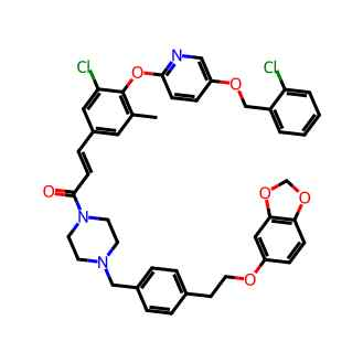 Cc1cc(/C=C/C(=O)N2CCN(Cc3ccc(CCOc4ccc5c(c4)OCO5)cc3)CC2)cc(Cl)c1Oc1ccc(OCc2ccccc2Cl)cn1